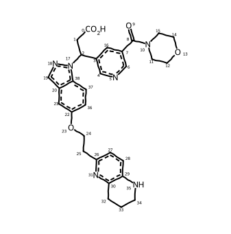 O=C(O)CC(c1cncc(C(=O)N2CCOCC2)c1)n1ncc2cc(OCCc3ccc4c(n3)CCCN4)ccc21